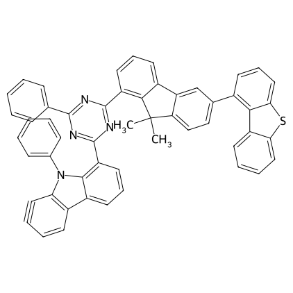 CC1(C)c2ccc(-c3cccc4sc5ccccc5c34)cc2-c2cccc(-c3nc(-c4ccccc4)nc(-c4cccc5c6ccc#cc6n(-c6ccccc6)c45)n3)c21